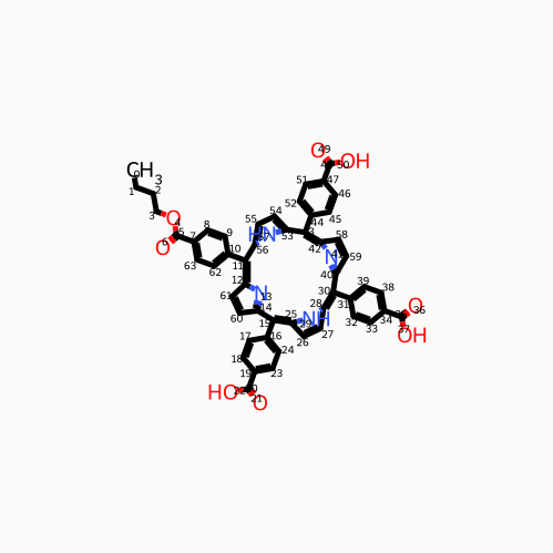 CCCCOC(=O)c1ccc(-c2c3nc(c(-c4ccc(C(=O)O)cc4)c4ccc([nH]4)c(-c4ccc(C(=O)O)cc4)c4nc(c(-c5ccc(C(=O)O)cc5)c5ccc2[nH]5)C=C4)C=C3)cc1